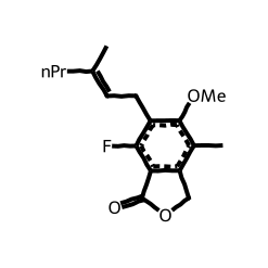 CCC/C(C)=C/Cc1c(F)c2c(c(C)c1OC)COC2=O